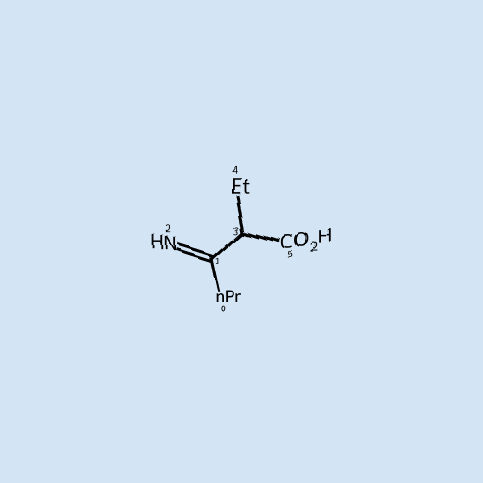 [CH2]CCC(=N)C(CC)C(=O)O